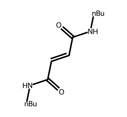 CCCCNC(=O)C=CC(=O)NCCCC